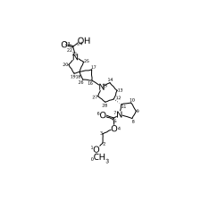 COCCOC(=O)N1CCC[C@H]1C1CCN(C2CC3(CCN(C(=O)O)C3)C2)CC1